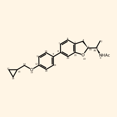 CC(=O)N[C@H](C)[C@@H]1Cc2ccc(-c3ccc(OCC4CC4)cc3)cc2O1